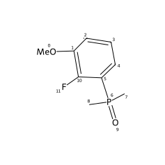 COc1[c]ccc(P(C)(C)=O)c1F